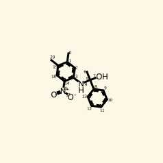 Cc1cc(NC(C)(O)c2ccccc2)c([N+](=O)[O-])cc1C